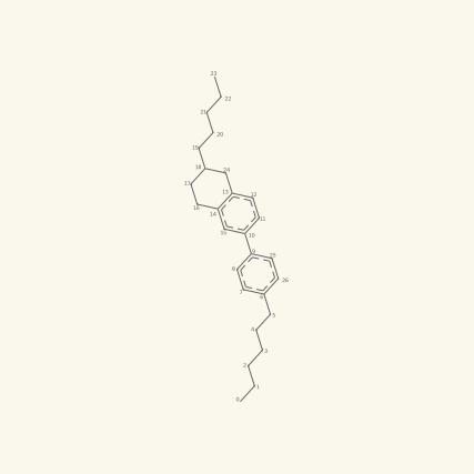 CCCCCCc1ccc(-c2ccc3c(c2)CCC(CCCCC)C3)cc1